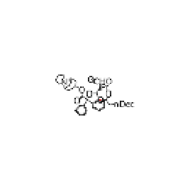 CCCCCCCCCCCC(=O)OC(OC(C(=O)OC1CC2CCC(C1)[N+]21CCCC1)(c1ccccc1)c1ccccc1)C(C)C.O=C[O-]